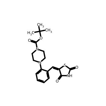 CC(C)(C)OC(=O)N1CCN(c2ccccc2C=C2SC(=O)NC2=O)CC1